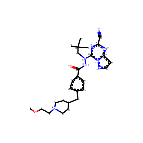 COCCN1CCC(Cc2ccc(C(=O)NN(CC(C)(C)C)c3nc(C#N)nc4ccnn34)cc2)CC1